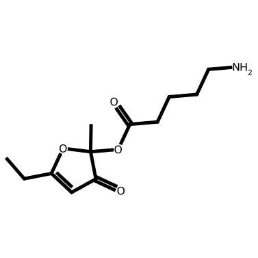 CCC1=CC(=O)C(C)(OC(=O)CCCCN)O1